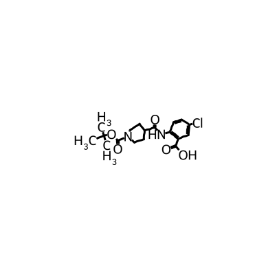 CC(C)(C)OC(=O)N1CCC(C(=O)Nc2ccc(Cl)cc2C(=O)O)CC1